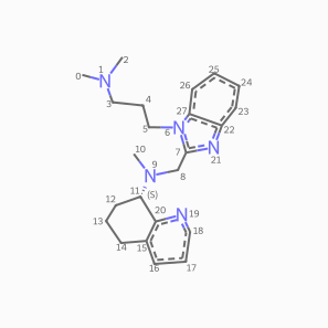 CN(C)CCCn1c(CN(C)[C@H]2CCCc3cccnc32)nc2ccccc21